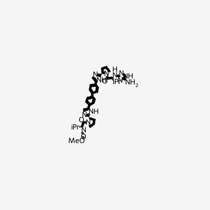 COO/C=N/[C@H](C(=O)N1CCC[C@H]1c1ncc(-c2ccc(-c3ccc(-c4cnc([C@@H]5CCCN5C(=O)[C@@H](Nc5n[nH]c(N)n5)C(C)C)[nH]4)cc3)cc2)[nH]1)C(C)C